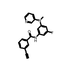 C#Cc1cccc(C(=O)Nc2cc(F)cc(N(C)c3cccnc3)c2)c1